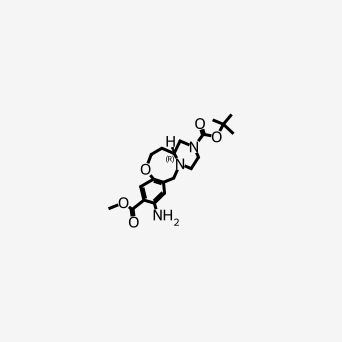 COC(=O)c1cc2c(cc1N)CN1CCN(C(=O)OC(C)(C)C)C[C@H]1CCO2